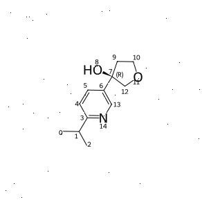 CC(C)c1ccc([C@]2(O)CCOC2)cn1